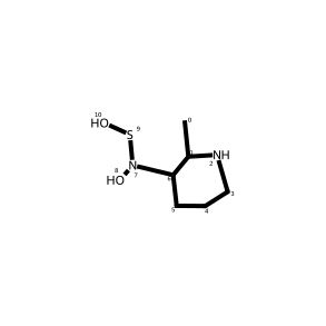 CC1NCCCC1N(O)SO